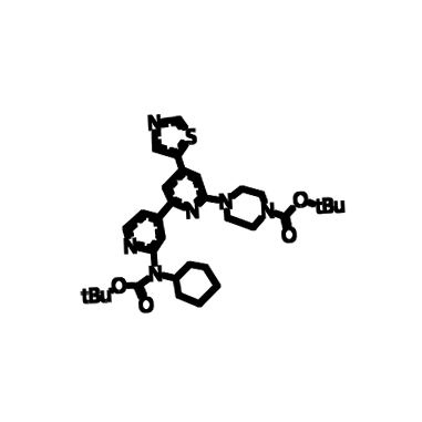 CC(C)(C)OC(=O)N1CCN(c2cc(-c3cncs3)cc(-c3ccnc(N(C(=O)OC(C)(C)C)C4CCCCC4)c3)n2)CC1